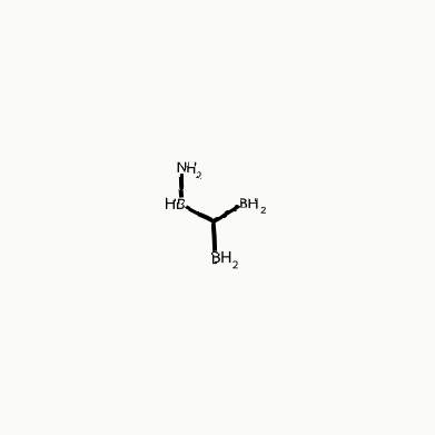 BC(B)BN